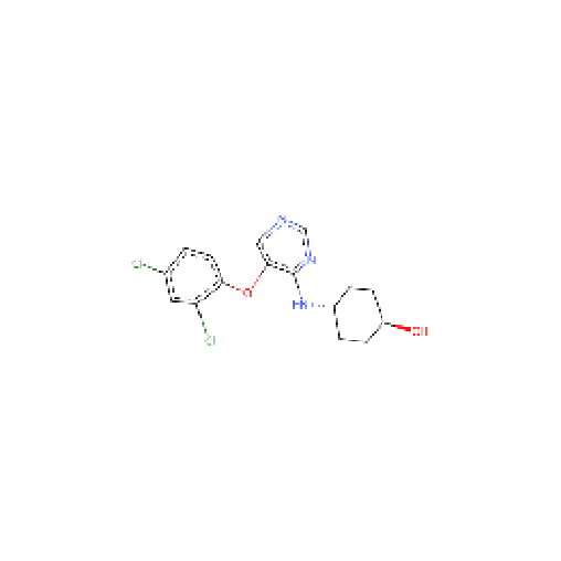 O[C@H]1CC[C@H](Nc2ncncc2Oc2ccc(Cl)cc2Cl)CC1